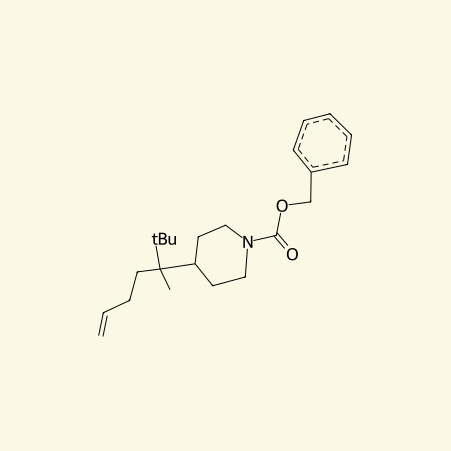 C=CCCC(C)(C1CCN(C(=O)OCc2ccccc2)CC1)C(C)(C)C